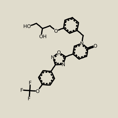 O=c1ccc(-c2nc(-c3ccc(OC(F)(F)F)cc3)no2)cn1Cc1cccc(OCC(O)CO)c1